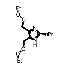 CCCc1nc(COOCC)c(COOCC)[nH]1